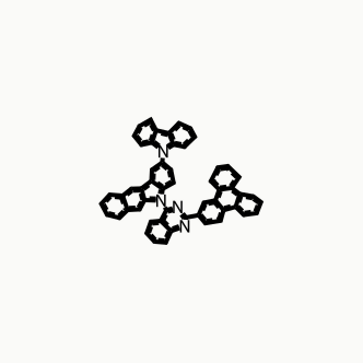 c1ccc2cc3c(cc2c1)c1cc(-n2c4ccccc4c4ccccc42)ccc1n3-c1nc(-c2ccc3c4ccccc4c4ccccc4c3c2)nc2ccccc12